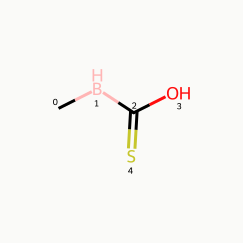 CBC(O)=S